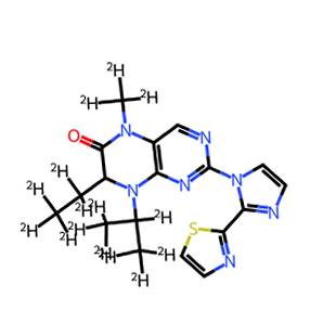 [2H]C([2H])([2H])N1C(=O)C(C([2H])([2H])C([2H])([2H])[2H])N(C([2H])(C([2H])([2H])[2H])C([2H])([2H])[2H])c2nc(-n3ccnc3-c3nccs3)ncc21